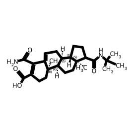 CC(C)(C)NC(=O)C1CC[C@H]2[C@@H]3CC=C4C(C(N)=O)=C(C(=O)O)CC[C@]4(C)[C@@H]3CC[C@]12C